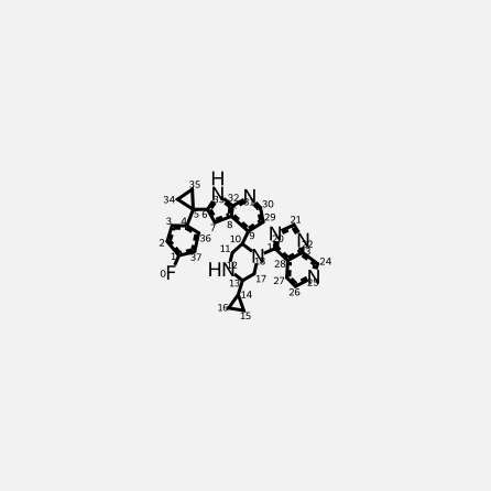 Fc1ccc(C2(c3cc4c(C5CNC(C6CC6)CN5c5ncnc6cnccc56)ccnc4[nH]3)CC2)cc1